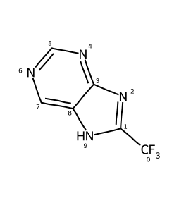 FC(F)(F)c1nc2ncncc2[nH]1